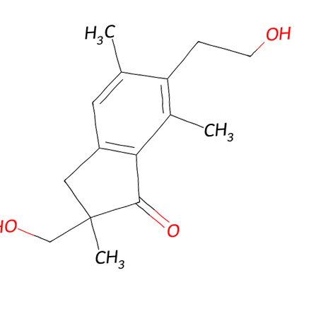 Cc1cc2c(c(C)c1CCO)C(=O)C(C)(CO)C2